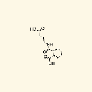 O=C(O)CCCNC(=O)c1ccccc1C(=O)O